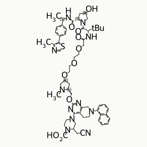 Cc1ncsc1-c1ccc([C@H](C)NC(=O)[C@@H]2C[C@@H](O)CN2C(=O)C(NC(=O)COCCOCCO[C@@H]2C[C@@H](COc3nc4c(c(N5CCN(C(=O)O)C(CC#N)C5)n3)CCN(c3cccc5ccccc35)C4)N(C)C2)C(C)(C)C)cc1